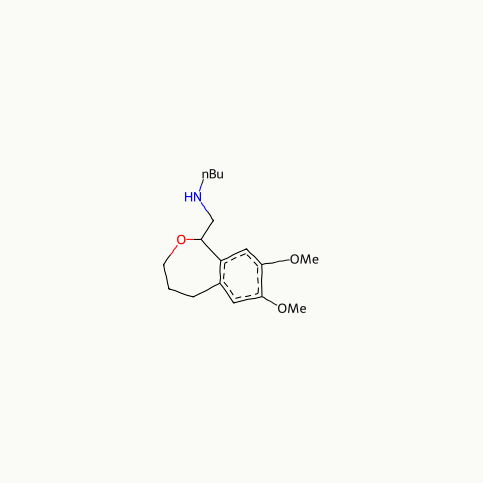 CCCCNCC1OCCCc2cc(OC)c(OC)cc21